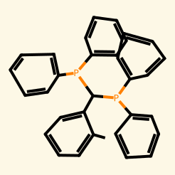 Cc1ccccc1C(P(c1ccccc1)c1ccccc1)P(c1ccccc1)c1ccccc1